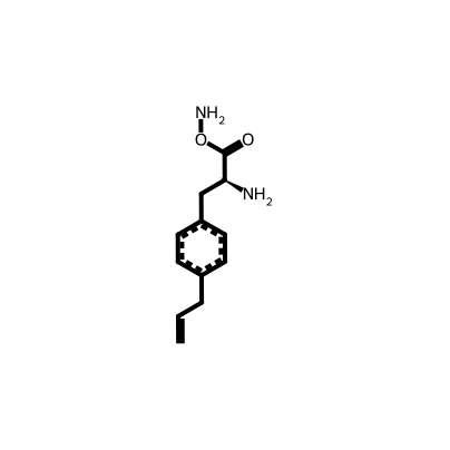 C=CCc1ccc(C[C@H](N)C(=O)ON)cc1